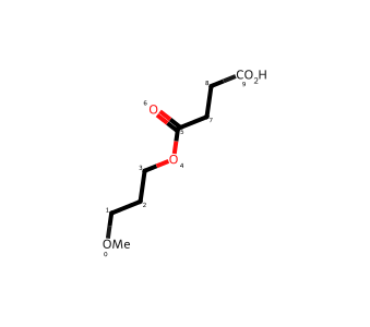 COCCCOC(=O)CCC(=O)O